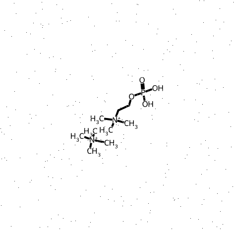 C[N+](C)(C)C.C[N+](C)(C)CCOP(=O)(O)O